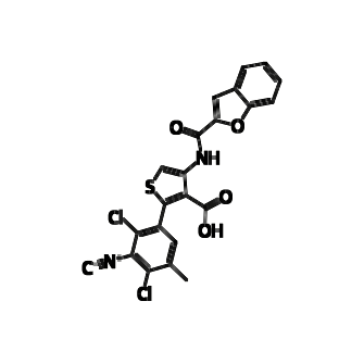 [C-]#[N+]c1c(Cl)c(C)cc(-c2scc(NC(=O)c3cc4ccccc4o3)c2C(=O)O)c1Cl